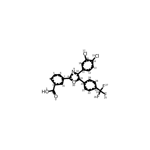 O=C(O)c1cccc(-c2nc(-c3ccc(Cl)c(Cl)c3)c(-c3ccc(C(F)(F)F)cc3)o2)c1